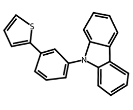 c1cc(-c2cccs2)cc(-n2c3ccccc3c3ccccc32)c1